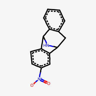 O=[N+]([O-])c1ccc2c(c1)C1Cc3ccccc3C2N1